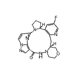 O=C1NN2CCOC[C@H]2Cc2ncc(F)cc2[C@H]2CCCN2c2ccn3ncc1c3n2